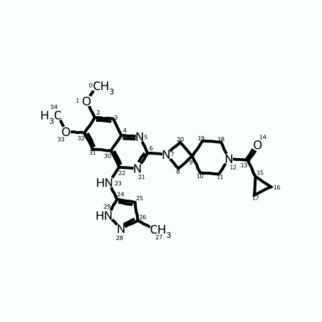 COc1cc2nc(N3CC4(CCN(C(=O)C5CC5)CC4)C3)nc(Nc3cc(C)n[nH]3)c2cc1OC